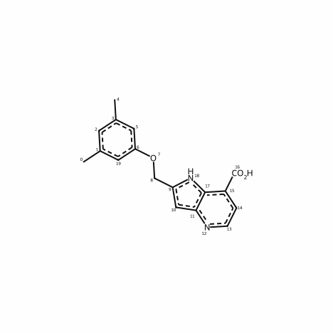 Cc1cc(C)cc(OCc2cc3nccc(C(=O)O)c3[nH]2)c1